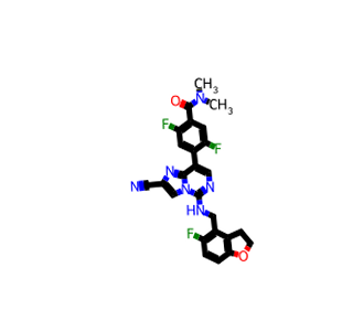 CN(C)C(=O)c1cc(F)c(-c2cnc(NCc3c(F)ccc4c3CCO4)n3cc(C#N)nc23)cc1F